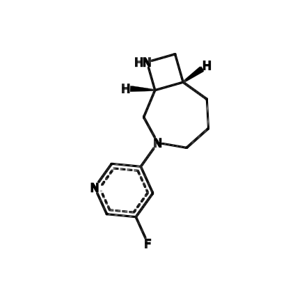 Fc1cncc(N2CCC[C@H]3CN[C@H]3C2)c1